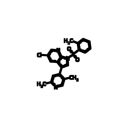 Cc1cc(-c2cn(S(=O)(=O)c3ccccc3C)c3ncc(Cl)cc23)c(C)cn1